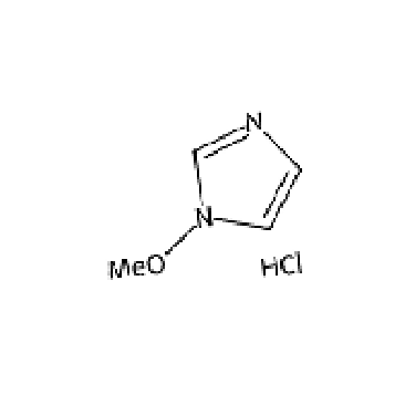 COn1ccnc1.Cl